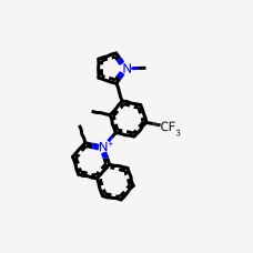 Cc1c(-c2cccn2C)cc(C(F)(F)F)cc1-[n+]1c(C)ccc2ccccc21